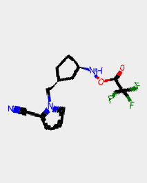 N#Cc1cccn1C[C@H]1CC[C@@H](NOC(=O)C(F)(F)F)C1